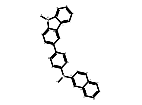 CN(c1ccc(-c2ccc3c(c2)c2ccccc2n3C)cc1)c1ccc2ccccc2c1